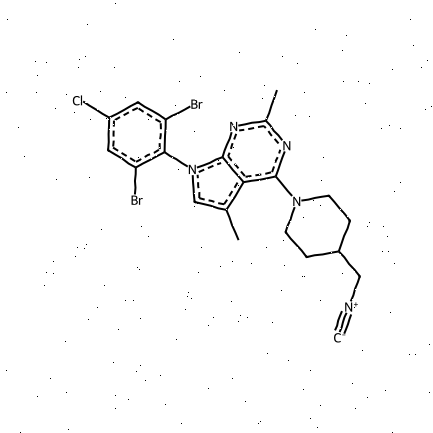 [C-]#[N+]CC1CCN(c2nc(C)nc3c2c(C)cn3-c2c(Br)cc(Cl)cc2Br)CC1